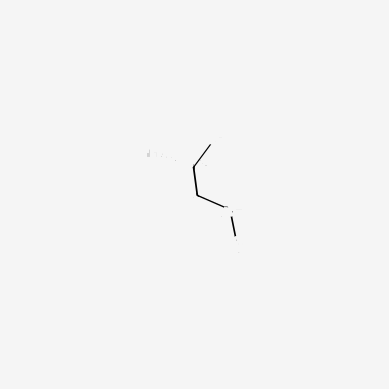 CCC[C@H](O)CNC(C)=O